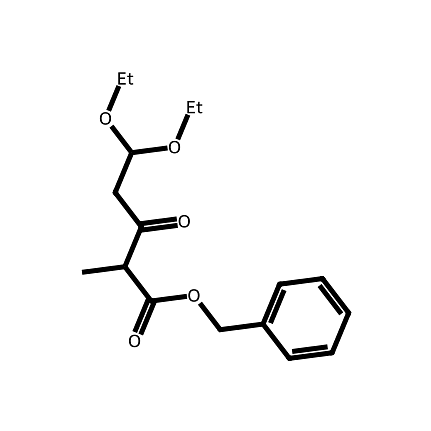 CCOC(CC(=O)C(C)C(=O)OCc1ccccc1)OCC